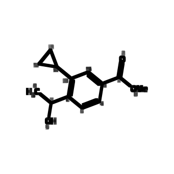 COC(=O)c1ccc(C(C)O)c(C2CC2)c1